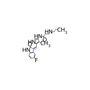 CCCNCCC(=O)Nc1c[nH]c(/C=C2\C(=O)Nc3ccc(F)cc32)c1C